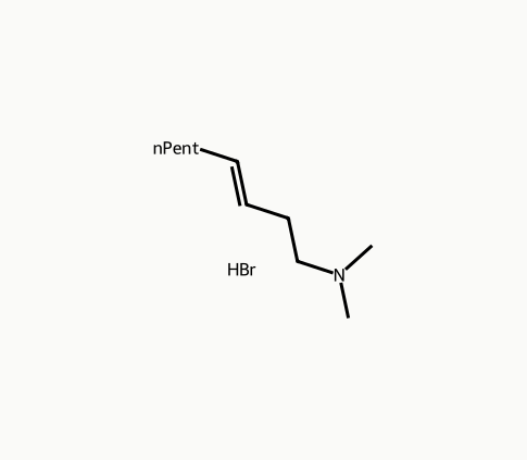 Br.CCCCCC=CCCN(C)C